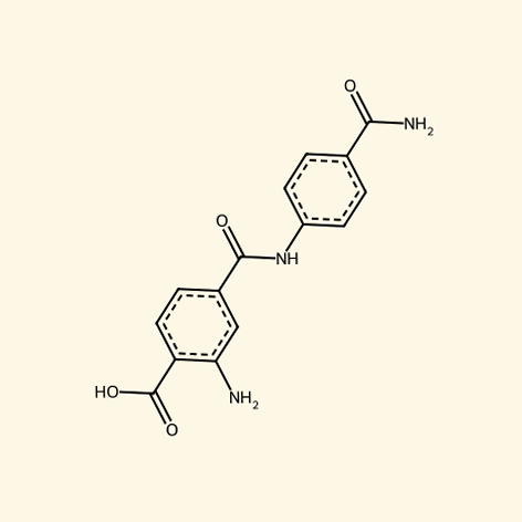 NC(=O)c1ccc(NC(=O)c2ccc(C(=O)O)c(N)c2)cc1